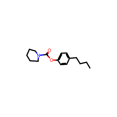 CCCCc1ccc(OC(=O)N2CCCCC2)cc1